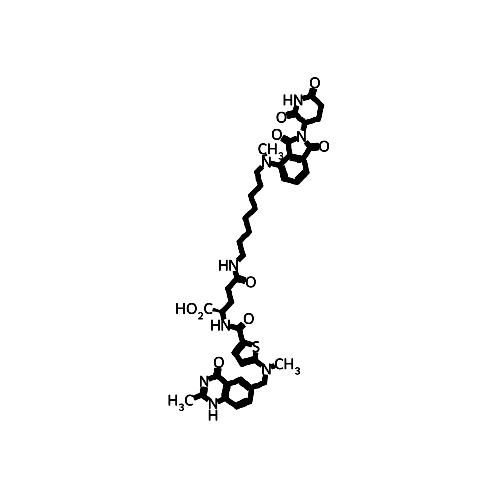 Cc1nc(=O)c2cc(CN(C)c3ccc(C(=O)N[C@H](CCC(=O)NCCCCCCCCN(C)c4cccc5c4C(=O)N(C4CCC(=O)NC4=O)C5=O)C(=O)O)s3)ccc2[nH]1